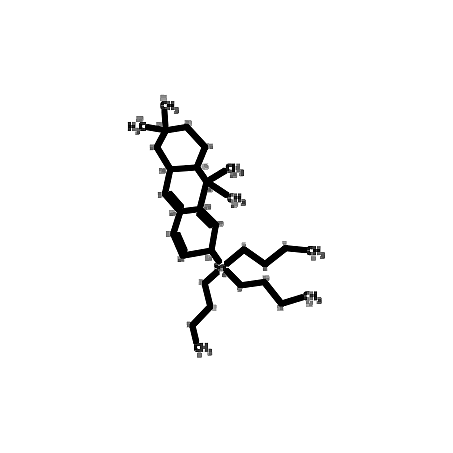 CCC[CH2][Sn]([CH2]CCC)([CH2]CCC)[CH]1C=CC2=CC3CC(C)(C)CCC3C(C)(C)C2=C1